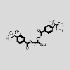 [CH2]C(C)(C)[C](OOC(=O)c1ccc([Si](C)(C)C)cc1)OOC(=O)c1ccc([Si](C)(C)C)cc1